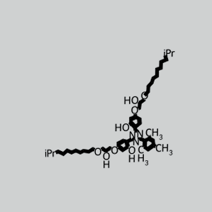 Cc1cc(C)c(-c2nc(-c3ccc(OCC(O)COCCCCCCCCCC(C)C)cc3O)nc(-c3ccc(OCC(O)COCCCCCCCCCC(C)C)cc3O)n2)c(C)c1